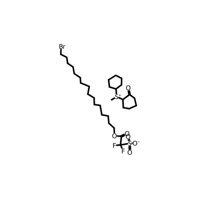 C[S+](C1CCCCC1)C1CCCCC1=O.O=C(OCCCCCCCCCCCCCCCCBr)C(F)(F)S(=O)(=O)[O-]